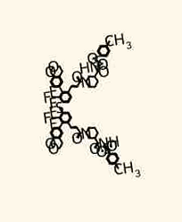 Cc1ccc(S(=O)(=O)NC(=O)C2CCCN(C(=O)/C=C/c3ccc(Sc4ccc(/C=C/C(=O)N5CCCC(C(=O)NS(=O)(=O)c6ccc(C)cc6)C5)c(-c5ccc6c(c5)CCOO6)c4C(F)(F)F)c(C(F)(F)F)c3-c3ccc4c(c3)CCOO4)C2)cc1